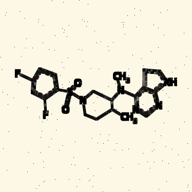 CC1CCN(S(=O)(=O)c2ccc(F)cc2F)CC1N(C)c1ncnc2[nH]ccc12